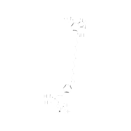 C[C@@](N)(CCc1ccc(OCCCCCCCCCCCNc2ccc([N+](=O)[O-])c3nonc23)cc1)COP(=O)(O)O